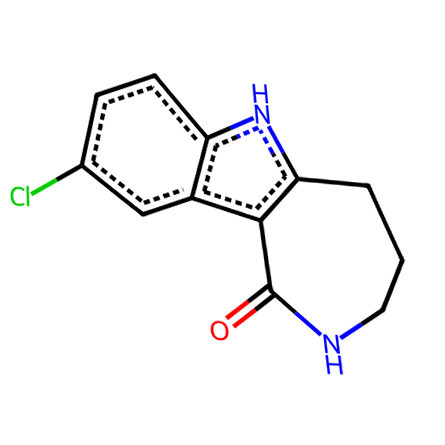 O=C1NCCCc2[nH]c3ccc(Cl)cc3c21